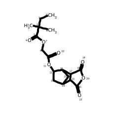 CCC(C)(C)C(=O)OCC(=O)OC1CC2CC1C1C(=O)OC(=O)C21